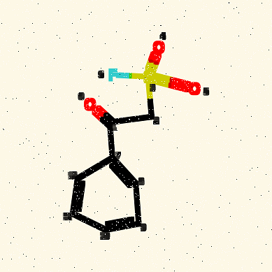 O=C(CS(=O)(=O)F)c1ccccc1